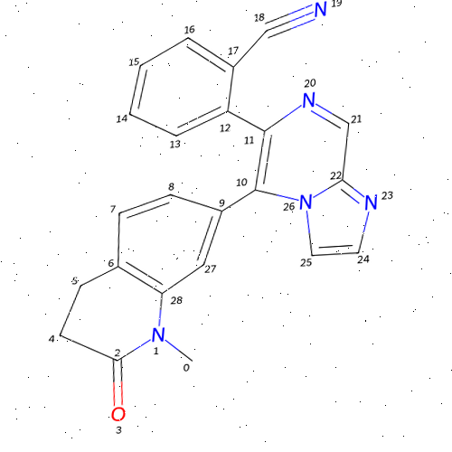 CN1C(=O)CCc2ccc(-c3c(-c4ccccc4C#N)ncc4nccn34)cc21